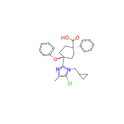 Cc1nc([C@]2(Oc3ccccc3)CC[C@](C(=O)O)(c3ccccc3)CC2)n(CC2CC2)c1Cl